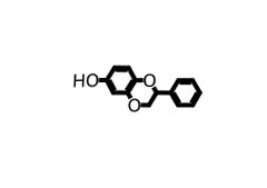 Oc1ccc2c(c1)OCC(c1ccccc1)O2